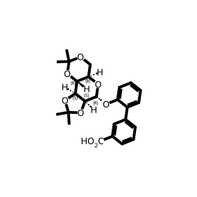 CC1(C)O[C@@H]2[C@H](O1)[C@@H](Oc1ccccc1-c1cccc(C(=O)O)c1)O[C@@H]1COC(C)(C)O[C@@H]21